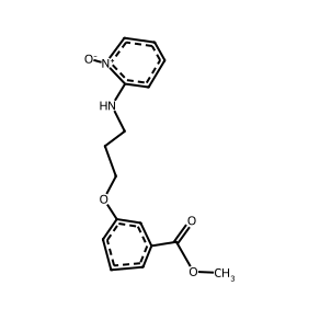 COC(=O)c1cccc(OCCCNc2cccc[n+]2[O-])c1